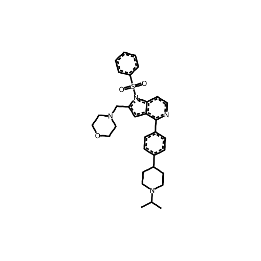 CC(C)N1CCC(c2ccc(-c3nccc4c3cc(CN3CCOCC3)n4S(=O)(=O)c3ccccc3)cc2)CC1